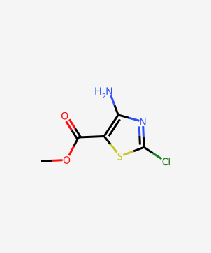 COC(=O)c1sc(Cl)nc1N